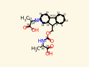 C[C@@H](NC(=O)OCC1c2ccccc2-c2ccccc21)C(=O)O.C[C@H](N)C(=O)O